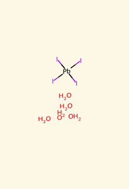 O.O.O.O.O.[I][Pb]([I])([I])[I]